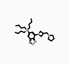 CCC[CH2][Sn]([CH2]CCC)([CH2]CCC)[c]1cc(N2CC(CN3CCCC3)C2)c2nonc2c1